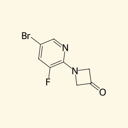 O=C1CN(c2ncc(Br)cc2F)C1